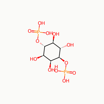 O=P(O)(O)O[C@H]1[C@@H](O)[C@@H](O)[C@H](OP(=O)(O)O)[C@@H](O)[C@@H]1O